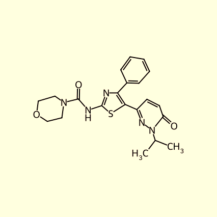 CC(C)n1nc(-c2sc(NC(=O)N3CCOCC3)nc2-c2ccccc2)ccc1=O